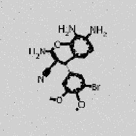 COc1cc([C@@H]2C(C#N)=C(N)Oc3c2ccc(N)c3N)cc(Br)c1OC